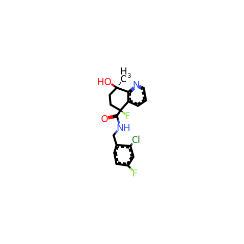 C[C@@]1(O)CC[C@@](F)(C(=O)NCc2ccc(F)cc2Cl)c2cccnc21